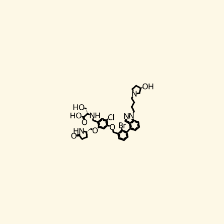 O=C1CC[C@@H](COc2cc(OCc3cccc(-c4cccc5c4cnn5CCCCN4CC[C@@H](O)C4)c3Br)c(Cl)cc2CN[C@@H](CO)C(=O)O)N1